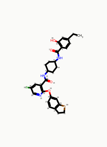 CCc1ccc(C(=O)NC2CCC(NC(=O)c3cc(F)cnc3Oc3ccc4c(c3)SCC4)CC2)c(O)c1